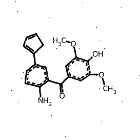 COc1cc(C(=O)c2cc(C3=CC=CC3)ccc2N)cc(OC)c1O